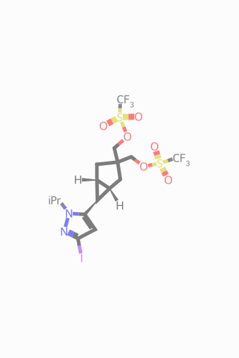 CC(C)n1nc(I)cc1[C@H]1[C@@H]2CC(COS(=O)(=O)C(F)(F)F)(COS(=O)(=O)C(F)(F)F)C[C@@H]21